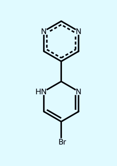 BrC1=CNC(c2cncnc2)N=C1